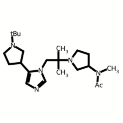 CC(=O)N(C)C1CCN(C(C)(C)Cn2cncc2C2CCN(C(C)(C)C)C2)C1